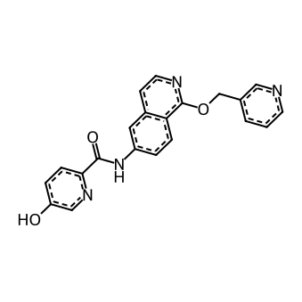 O=C(Nc1ccc2c(OCc3cccnc3)nccc2c1)c1ccc(O)cn1